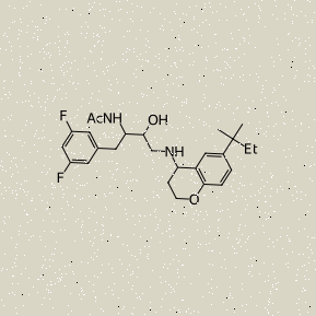 CCC(C)(C)c1ccc2c(c1)C(NCC(O)C(Cc1cc(F)cc(F)c1)NC(C)=O)CCO2